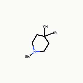 CC(C)(C)N1CCC(C#N)(C(C)(C)C)CC1